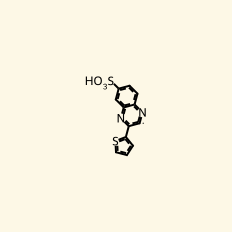 O=S(=O)(O)c1ccc2n[c]c(-c3cccs3)nc2c1